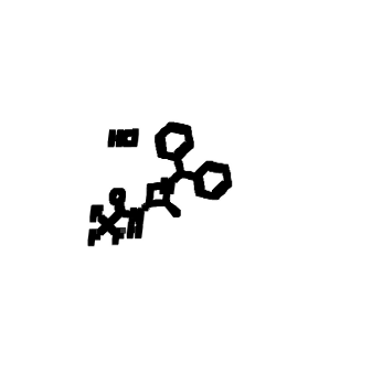 C[C@H]1[C@H](NC(=O)C(F)(F)F)CN1C(c1ccccc1)c1ccccc1.Cl